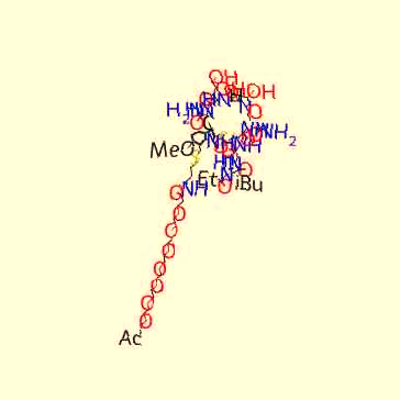 CCC(=O)N[C@H](C(=O)NCC(=O)N[C@H]1C[S+]([O-])c2[nH]c3c(CSCCCCNC(=O)CCOCCOCCOCCOCCOCCOCCOCCC(C)=O)c(OC)ccc3c2C[C@@H](C(N)=O)NC(=O)[C@H]([C@@H](C)[C@@H](O)CO)NC(=O)[C@@H]2C[C@@H](O)CN2C(=O)[C@H](CC(N)=O)NC1=O)[C@@H](C)CC